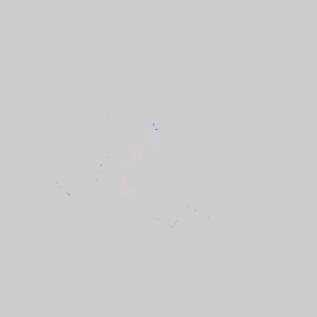 CCCCCCCc1ccc(C2(C(=O)Oc3ccc(CCCCCC)cc3C#N)CCCCC2)cc1